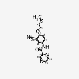 COCCOc1ccc(NC(=O)c2cnccn2)cc1C#N